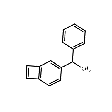 CC(c1ccccc1)c1ccc2c(c1)C=C2